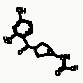 O=C(O)NC1C2CN(C(=O)c3ccc(O)cc3O)CC21